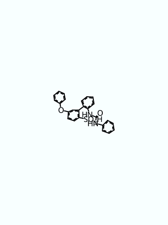 O=C(Nc1ccccc1)Nc1ccccc1-c1cc(Oc2ccccc2)ccc1S(=O)(=O)O